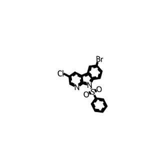 O=S(=O)(c1ccccc1)n1c2ccc(Br)cc2c2cc(Cl)cnc21